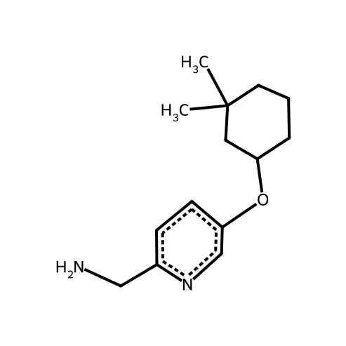 CC1(C)CCCC(Oc2ccc(CN)nc2)C1